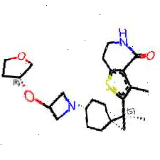 Cc1c([C@@]2(C)C[C@]23CC[C@@H](N2CC(O[C@@H]4CCOC4)C2)CC3)sc2c1C(=O)NCC2